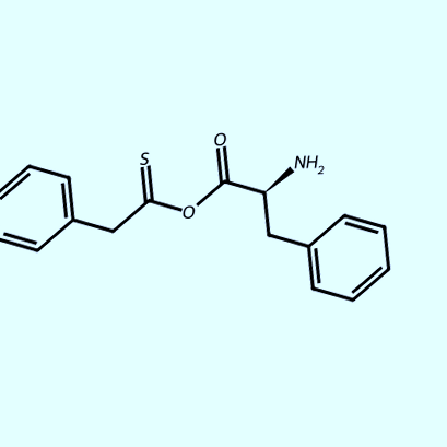 N[C@@H](Cc1ccccc1)C(=O)OC(=S)Cc1ccccc1